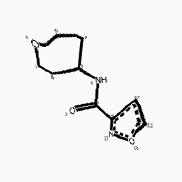 O=C(NC1CCOCC1)c1ccon1